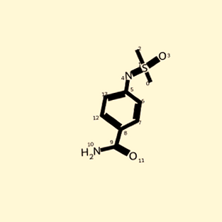 CS(C)(=O)=Nc1ccc(C(N)=O)cc1